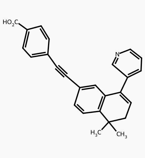 CC1(C)CC=C(c2cccnc2)c2cc(C#Cc3ccc(C(=O)O)cc3)ccc21